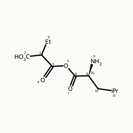 CCC(C(=O)O)C(=O)OC(=O)[C@@H](N)CC(C)C